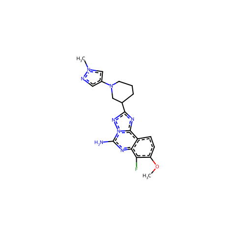 COc1ccc2c(nc(N)n3nc(C4CCCN(c5cnn(C)c5)C4)nc23)c1F